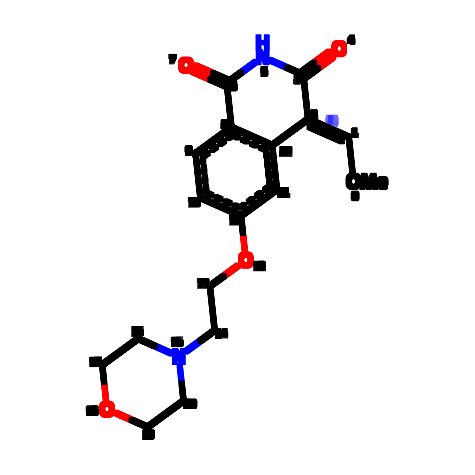 CO/C=C1/C(=O)NC(=O)c2ccc(OCCN3CCOCC3)cc21